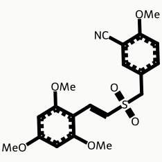 COc1cc(OC)c(/C=C/S(=O)(=O)Cc2ccc(OC)c(C#N)c2)c(OC)c1